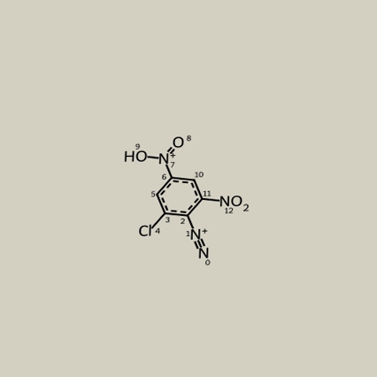 N#[N+]c1c(Cl)cc([N+](=O)O)cc1[N+](=O)[O-]